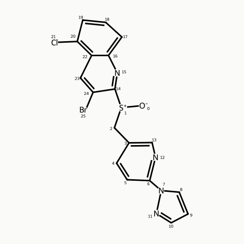 [O-][S+](Cc1ccc(-n2cccn2)nc1)c1nc2cccc(Cl)c2cc1Br